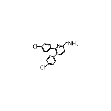 NCc1ccc(-c2ccc(Cl)cc2)c(-c2ccc(Cl)cc2)n1